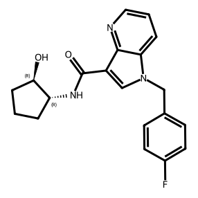 O=C(N[C@@H]1CCC[C@H]1O)c1cn(Cc2ccc(F)cc2)c2cccnc12